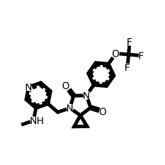 CNc1cnccc1CN1C(=O)N(c2ccc(OC(F)(F)F)cc2)C(=O)C12CC2